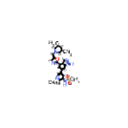 COc1ncc(-c2cc(-c3ncc(CN4C[C@H](C)C[C@H](C)C4)o3)c3cn[nH]c3c2)cc1NS(C)(=O)=O